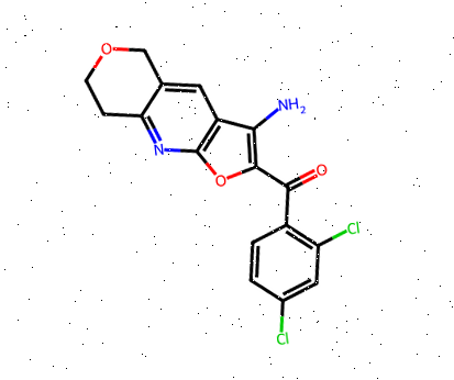 Nc1c(C(=O)c2ccc(Cl)cc2Cl)oc2nc3c(cc12)COCC3